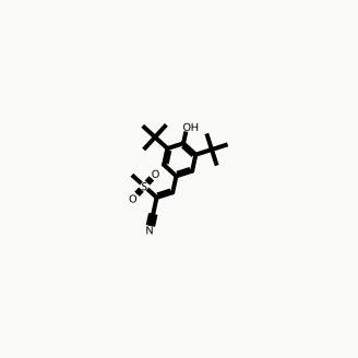 CC(C)(C)c1cc(C=C(C#N)S(C)(=O)=O)cc(C(C)(C)C)c1O